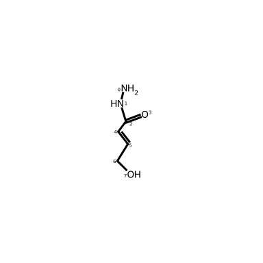 NNC(=O)C=CCO